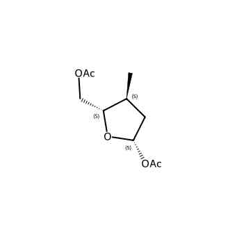 CC(=O)OC[C@H]1O[C@@H](OC(C)=O)C[C@@H]1C